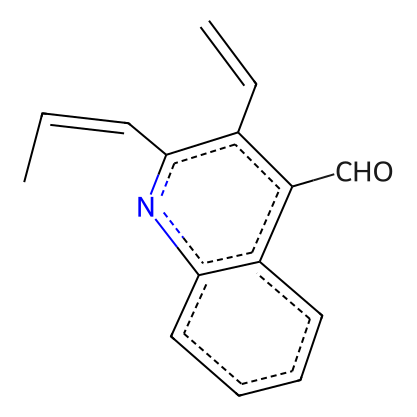 C=Cc1c(/C=C\C)nc2ccccc2c1C=O